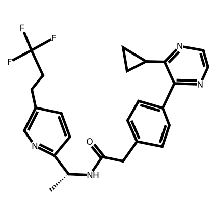 C[C@@H](NC(=O)Cc1ccc(-c2nccnc2C2CC2)cc1)c1ccc(CCC(F)(F)F)cn1